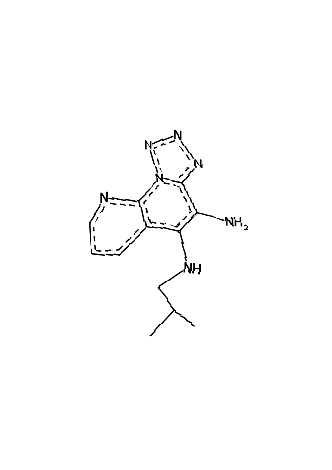 CC(C)CNc1c(N)c2nnnn2c2ncccc12